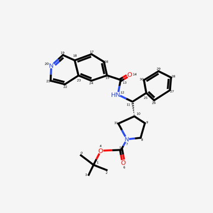 CC(C)(C)OC(=O)N1CC[C@@H](C(NC(=O)c2ccc3cnccc3c2)c2ccccc2)C1